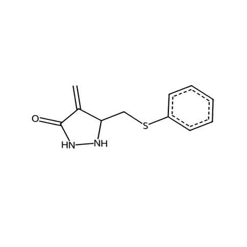 C=C1C(=O)NNC1CSc1ccccc1